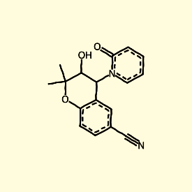 CC1(C)Oc2ccc(C#N)cc2C(n2ccccc2=O)C1O